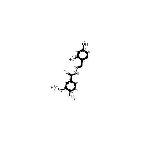 COc1cc(C(=O)NN=Cc2ccc(O)cc2O)ccc1C